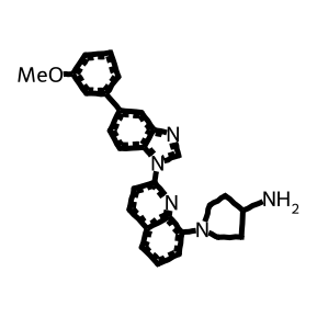 COc1cccc(-c2ccc3c(c2)ncn3-c2ccc3cccc(N4CCC(N)CC4)c3n2)c1